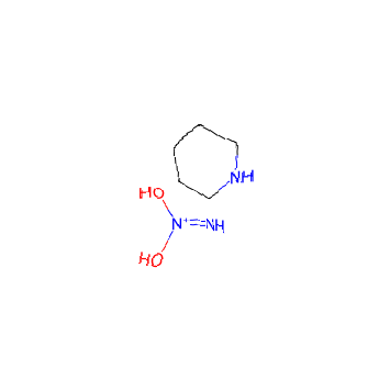 C1CCNCC1.N=[N+](O)O